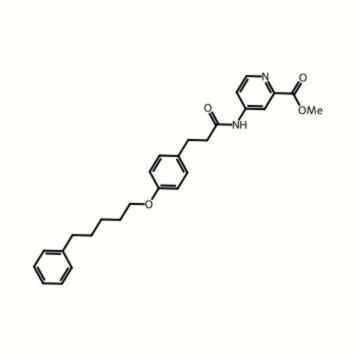 COC(=O)c1cc(NC(=O)CCc2ccc(OCCCCCc3ccccc3)cc2)ccn1